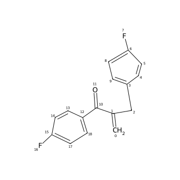 C=C(Cc1ccc(F)cc1)C(=O)c1ccc(F)cc1